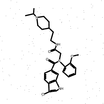 COc1ccccc1N(CC(=O)NCCC1CCN(C(C)C)CC1)C(=O)c1ccc2c(Cl)c[nH]c2c1